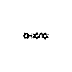 c1ccc(-c2nc3ccn(Cc4cccnc4)cc-3n2)cc1